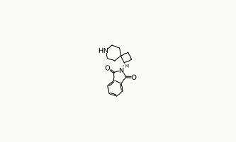 O=C1c2ccccc2C(=O)N1[C@H]1CCC12CCNCC2